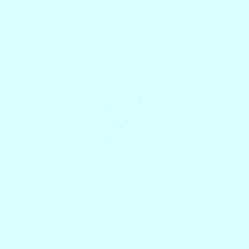 Cc1cn(CCO)c(=O)n1C1CCC(=O)N(C(=O)O)C1=O